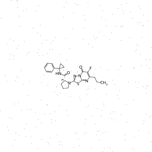 CCCc1nc2sc(N3CCC[C@@H]3C(=O)NC3(c4ccccc4)CC3)nn2c(=O)c1F